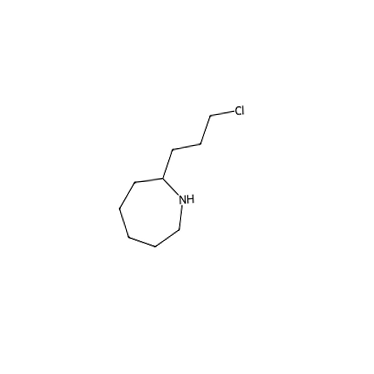 ClCCCC1CCCCCN1